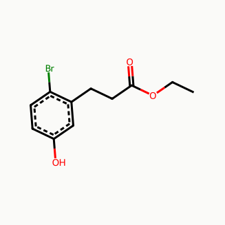 CCOC(=O)CCc1cc(O)ccc1Br